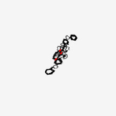 CN([C@@H](C(=O)N1C2CCC1CC(N)C2)C(F)(F)c1ccc(Oc2ccccc2)cc1)S(=O)(=O)c1ccc(OCC2CCCCC2)cc1